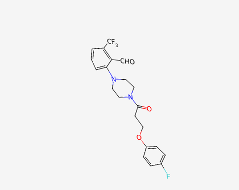 O=Cc1c(N2CCN(C(=O)CCOc3ccc(F)cc3)CC2)cccc1C(F)(F)F